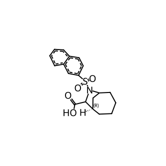 O=C(O)C1[C@@H]2CCCCC(C2)N1S(=O)(=O)c1ccc2ccccc2c1